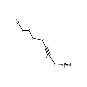 CCCCCCC#CCCCC[O]